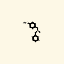 COc1ccc(CN(C)Cc2ccccc2)cc1